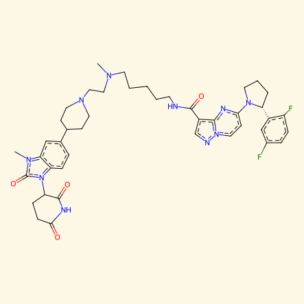 CN(CCCCCNC(=O)c1cnn2ccc(N3CCC[C@@H]3c3cc(F)ccc3F)nc12)CCN1CCC(c2ccc3c(c2)n(C)c(=O)n3C2CCC(=O)NC2=O)CC1